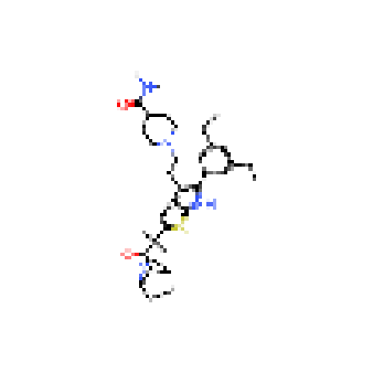 CCc1cc(CC)cc(-c2[nH]c3sc(C(C)(C)C(=O)C4C5CCC4NC5)cc3c2CCN2CCC(C(=O)N(C)C)CC2)c1